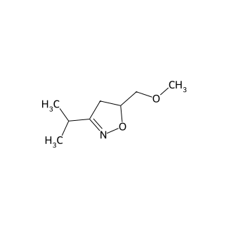 COCC1CC(C(C)C)=NO1